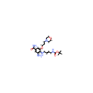 CC(C)(C)OC(=O)NC/C=C/CNc1c(N)cc(C(N)=O)cc1OCCCN1CCOCC1